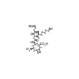 CNCCNC(=O)[C@H](CC(=O)NC1CC(N)CC2SSC2CC(C(=O)O)C1)N(C)C(=O)CCCCCS